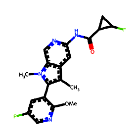 COc1ncc(F)cc1-c1c(C)c2cc(NC(=O)C3CC3F)ncc2n1C